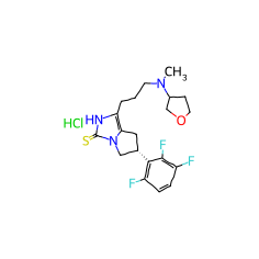 CN(CCCc1[nH]c(=S)n2c1C[C@H](c1c(F)ccc(F)c1F)C2)C1CCOC1.Cl